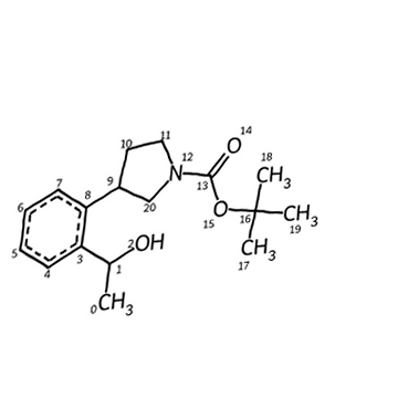 CC(O)c1ccccc1C1CCN(C(=O)OC(C)(C)C)C1